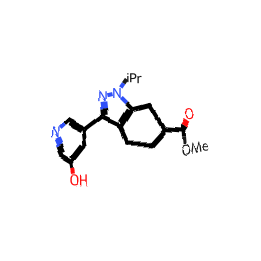 COC(=O)C1CCc2c(-c3cncc(O)c3)nn(C(C)C)c2C1